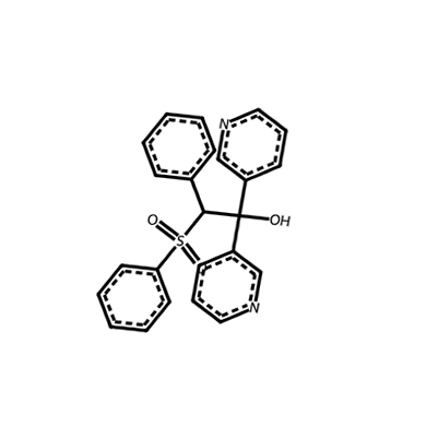 O=S(=O)(c1ccccc1)C(c1ccccc1)C(O)(c1cccnc1)c1cccnc1